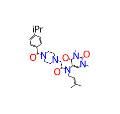 CC(C)=CCN(C(=O)CN1CCN(C(=O)c2ccc(C(C)C)cc2)CC1)c1cn(C)c(=O)n(C)c1=O